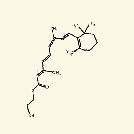 CC1=C(/C=C/C(C)=C\C=C\C(C)=C\C(=O)OCCO)C(C)(C)CCC1